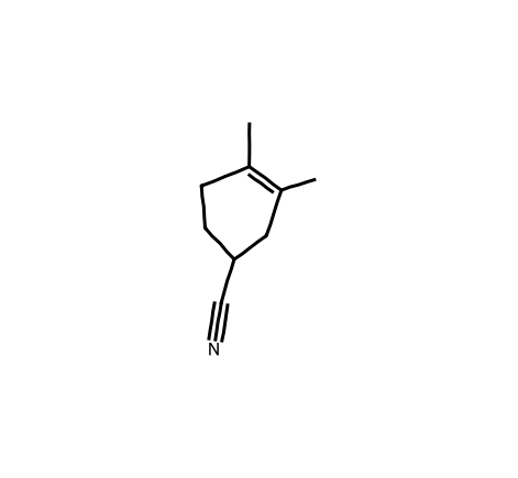 CC1=C(C)CC(C#N)CC1